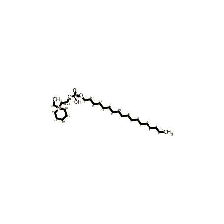 CCCCCCCCCCCCCCCCCCOP(=O)(O)OCC[N+]1(CC)CCCCC1